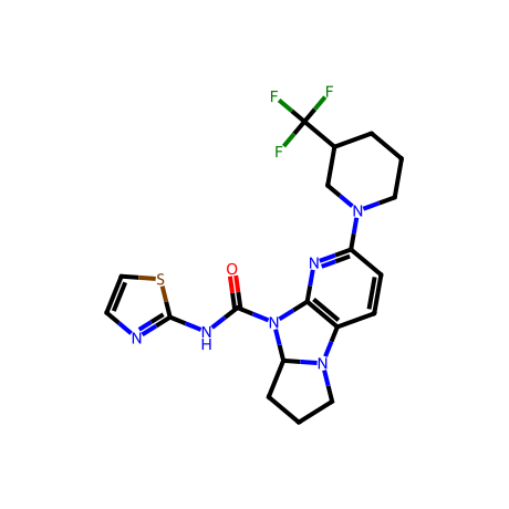 O=C(Nc1nccs1)N1c2nc(N3CCCC(C(F)(F)F)C3)ccc2N2CCCC21